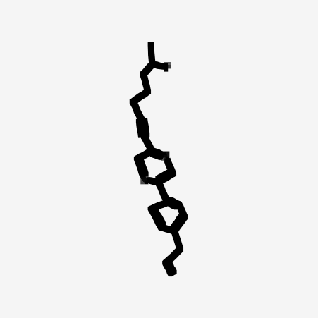 C=CCc1ccc(-c2cnc(C#CCCCC(C)F)cn2)cc1